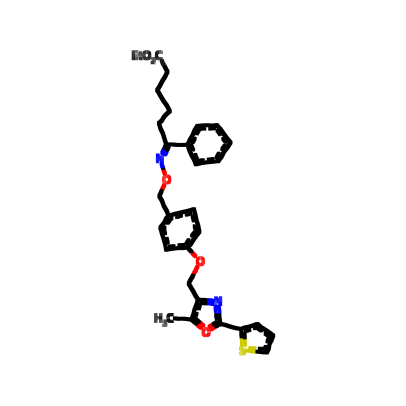 CCOC(=O)CCCCC(=NOCc1ccc(OCc2nc(-c3cccs3)oc2C)cc1)c1ccccc1